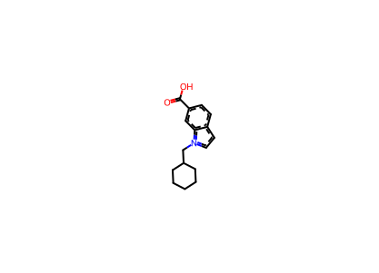 O=C(O)c1ccc2ccn(CC3CCCCC3)c2c1